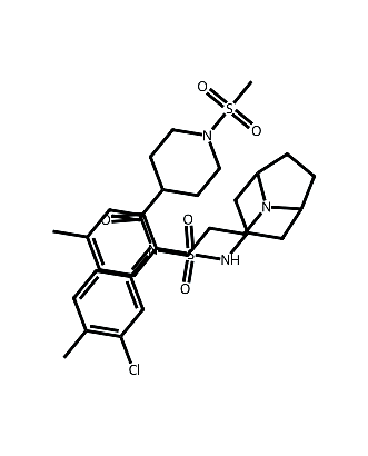 Cc1ccc(S(=O)(=O)NC2CC3CCC(C2)N3CCCN(C(=O)C2CCN(S(C)(=O)=O)CC2)c2ccc(C)c(Cl)c2)cc1